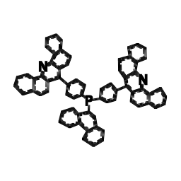 c1ccc2c(c1)cc(P(c1ccc(-c3c4ccc5ccccc5c4nc4c3ccc3ccccc34)cc1)c1ccc(-c3c4ccc5ccccc5c4nc4c3ccc3ccccc34)cc1)c1ccccc12